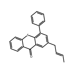 CC=CCc1cc(-c2ccccc2)c2sc3ccccc3c(=O)c2c1